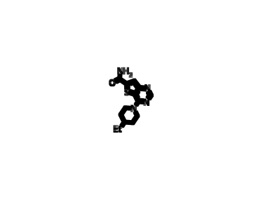 CCC1CCN(c2ncnc3cc(C(N)=O)sc23)CC1